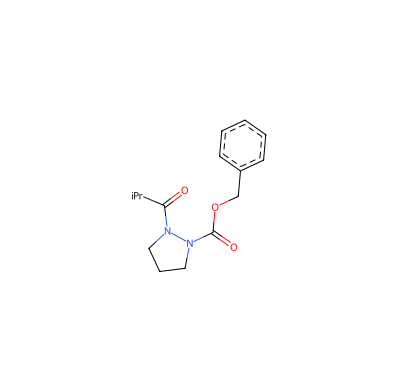 CC(C)C(=O)N1CCCN1C(=O)OCc1ccccc1